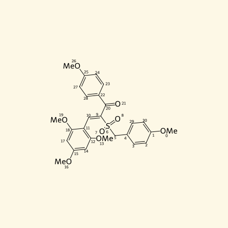 COc1ccc(CS(=O)(=O)/C(=C\c2c(OC)cc(OC)cc2OC)C(=O)c2ccc(OC)cc2)cc1